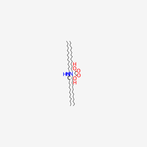 CCCCCCCCCCCCCCNCCCCCCCCCCCCCC.CCCCCCCCCCCCCCNCCCCCCCCCCCCCC.O=C(O)CC(=O)O